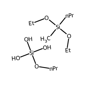 CCCO[Si](O)(O)O.CCC[Si](C)(OCC)OCC